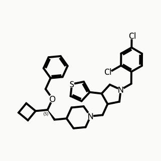 Clc1ccc(CN2CC(CN3CCC(C[C@H](OCc4ccccc4)C4CCC4)CC3)C(c3ccsc3)C2)c(Cl)c1